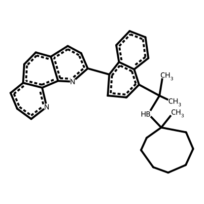 CC1(BC(C)(C)c2ccc(-c3ccc4ccc5cccnc5c4n3)c3ccccc23)CCCCCCC1